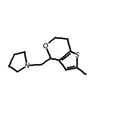 Cc1cc2c(s1)CCOC2CN1CCCC1